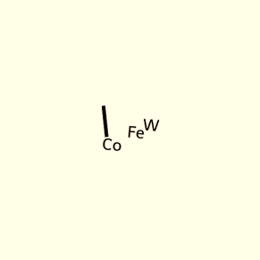 [CH3][Co].[Fe].[W]